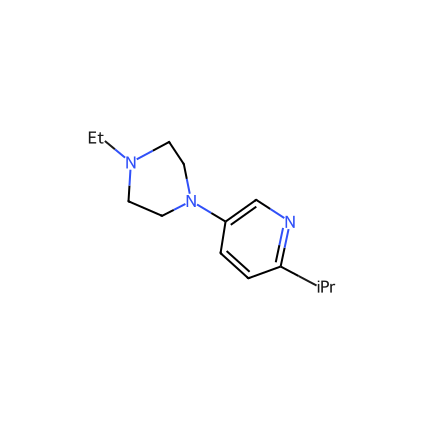 CCN1CCN(c2ccc(C(C)C)nc2)CC1